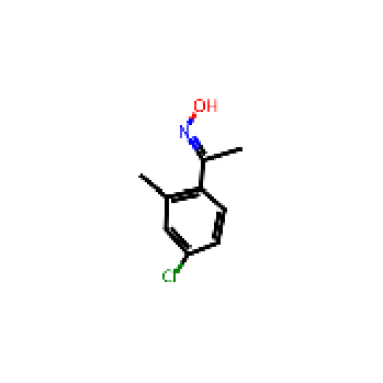 CC(=NO)c1ccc(Cl)cc1C